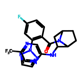 O=C(c1ccc(F)cc1-n1nccn1)N1C2CCC1C(Nc1cnc(C(F)(F)F)cn1)C2